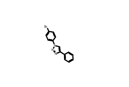 Brc1ccc(-n2cc(-c3ccccc3)nn2)cc1